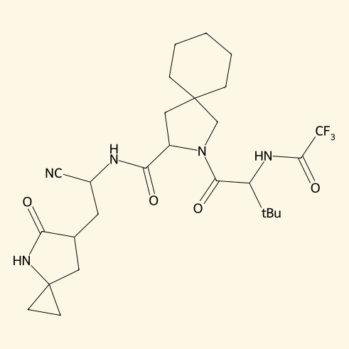 CC(C)(C)C(NC(=O)C(F)(F)F)C(=O)N1CC2(CCCCC2)CC1C(=O)NC(C#N)CC1CC2(CC2)NC1=O